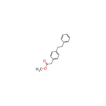 COC(=O)Cc1ccc(CCc2ccccc2)cc1